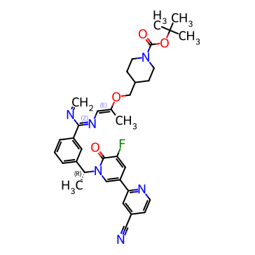 C=N/C(=N\C=C(/C)OCC1CCN(C(=O)OC(C)(C)C)CC1)c1cccc([C@@H](C)n2cc(-c3cc(C#N)ccn3)cc(F)c2=O)c1